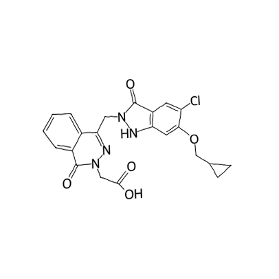 O=C(O)Cn1nc(Cn2[nH]c3cc(OCC4CC4)c(Cl)cc3c2=O)c2ccccc2c1=O